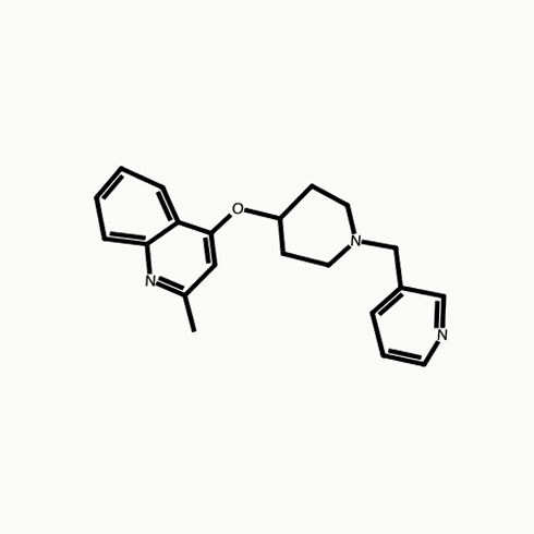 Cc1cc(OC2CCN(Cc3cccnc3)CC2)c2ccccc2n1